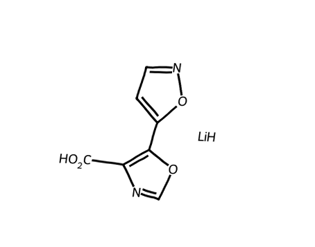 O=C(O)c1ncoc1-c1ccno1.[LiH]